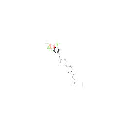 CC/C=C/C[C@H]1CC[C@H]([C@H]2CC[C@H](CCc3cc(F)c(OC(F)F)c(F)c3)CC2)CC1